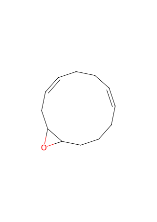 C1=CCCCC2OC2CC=CCC1